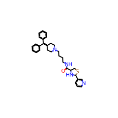 O=C(NCCCCN1CCC(=C(c2ccccc2)c2ccccc2)CC1)C1CSC(c2cccnc2)N1